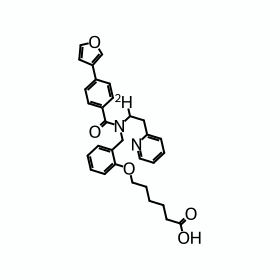 [2H]C(Cc1ccccn1)N(Cc1ccccc1OCCCCCC(=O)O)C(=O)c1ccc(-c2ccoc2)cc1